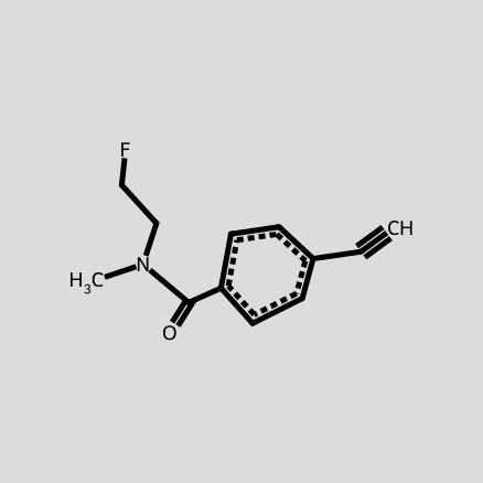 C#Cc1ccc(C(=O)N(C)CCF)cc1